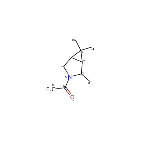 CC1C2C(CN1C(=O)C(F)(F)F)C2(C)C